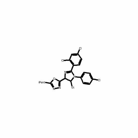 CCCC(C)c1nnc(C2N=C(c3ccc(Cl)cc3Cl)N(c3ccc(Cl)cc3)C2CC)o1